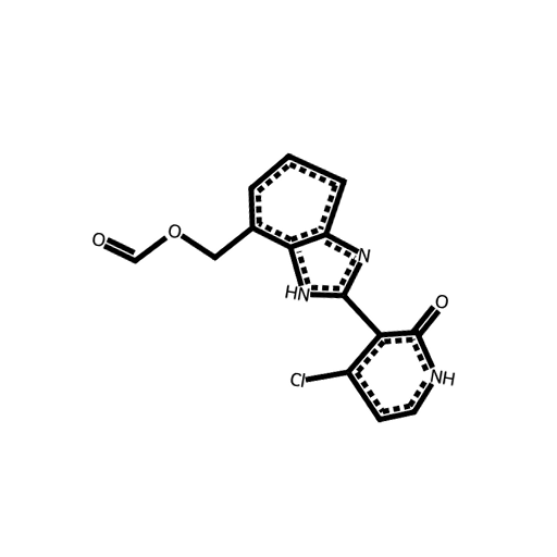 O=COCc1cccc2nc(-c3c(Cl)cc[nH]c3=O)[nH]c12